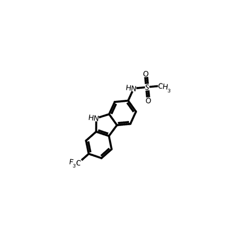 CS(=O)(=O)Nc1ccc2c(c1)[nH]c1cc(C(F)(F)F)ccc12